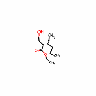 CCCCC.CCOC(=O)CCO